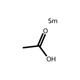 CC(=O)O.[Sm]